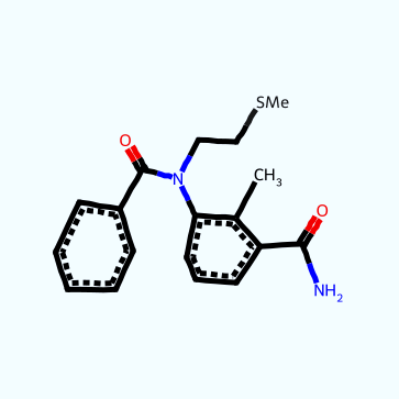 CSCCN(C(=O)c1ccccc1)c1cccc(C(N)=O)c1C